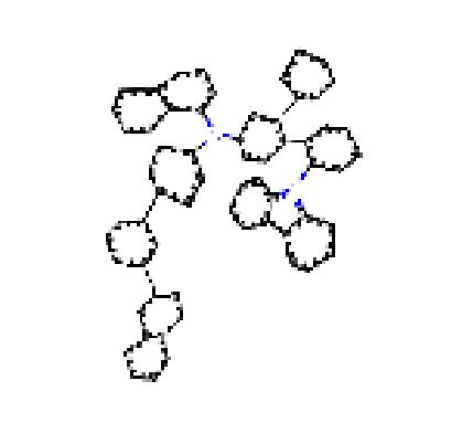 c1ccc(-c2cc(N(c3ccc(-c4cccc(-c5ccc6ccccc6c5)c4)cc3)c3cccc4ccccc34)ccc2-c2ccccc2-n2c3ccccc3c3ccccc32)cc1